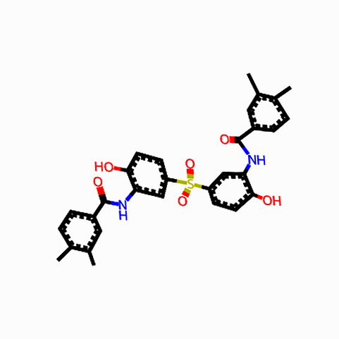 Cc1ccc(C(=O)Nc2cc(S(=O)(=O)c3ccc(O)c(NC(=O)c4ccc(C)c(C)c4)c3)ccc2O)cc1C